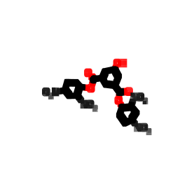 O=C(Oc1ccc([N+](=O)[O-])cc1[N+](=O)[O-])c1cc(O)cc(C(=O)Oc2ccc([N+](=O)[O-])cc2[N+](=O)[O-])c1